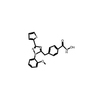 COc1ccccc1-n1nc(-c2cccs2)nc1Cc1ccc(C(=O)NO)cc1